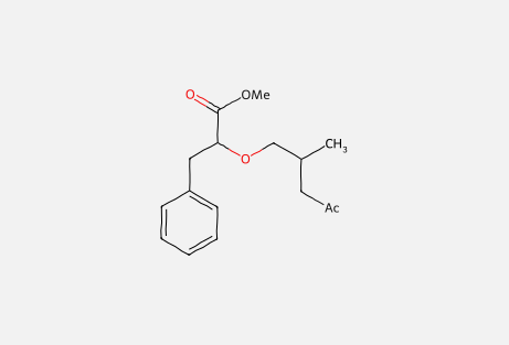 COC(=O)C(Cc1ccccc1)OCC(C)CC(C)=O